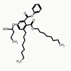 CCCC(O)O.CCCCCCCCOC(=O)c1c(CCCCCCCC)cccc1C(=O)Oc1ccccc1